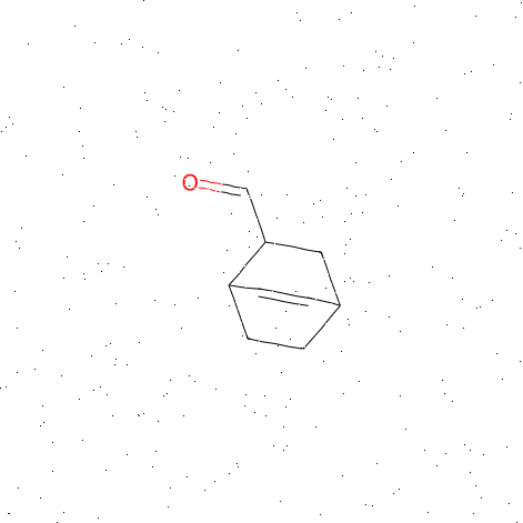 O=CC1CC2C=CC1CC2